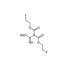 CSC(=N)N(C(=O)OCCF)C(=O)OCCF